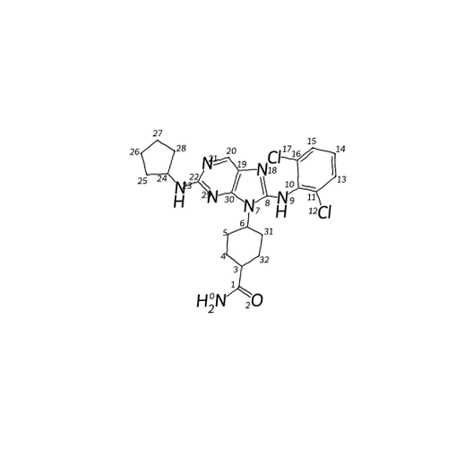 NC(=O)C1CCC(n2c(Nc3c(Cl)cccc3Cl)nc3cnc(NC4CCCC4)nc32)CC1